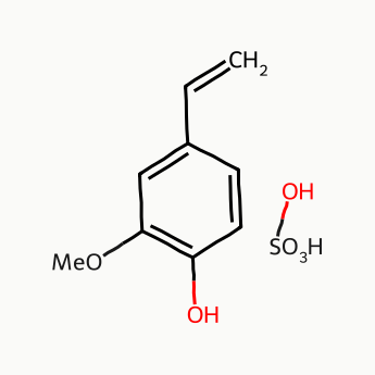 C=Cc1ccc(O)c(OC)c1.O=S(=O)(O)O